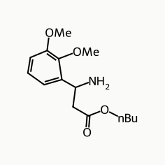 CCCCOC(=O)CC(N)c1cccc(OC)c1OC